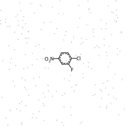 O=[N+]([O-])c1[c]cc(Cl)c(F)c1